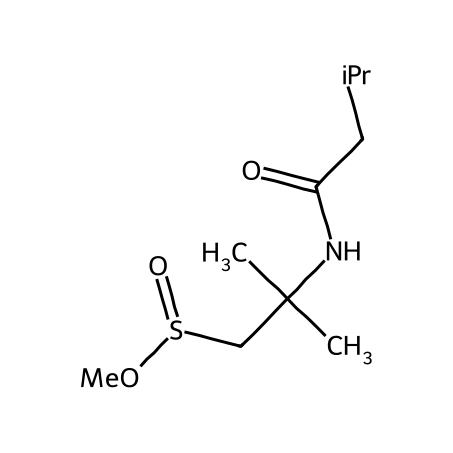 COS(=O)CC(C)(C)NC(=O)CC(C)C